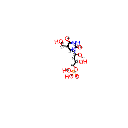 COC(C[C@H](O)COP(=O)(O)O)n1cc(CO)c(=O)[nH]c1=O